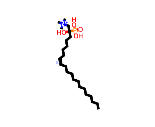 CCCCCCCCCCCC/C=C\CCCCCC(O)(C[N+](C)(C)C)P(=O)(O)O